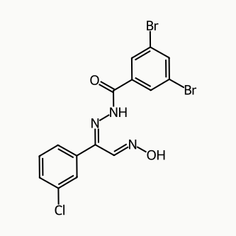 O=C(NN=C(C=NO)c1cccc(Cl)c1)c1cc(Br)cc(Br)c1